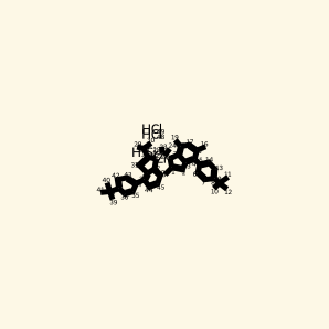 CC1=Cc2c(-c3ccc(C(C)(C)C)cc3)c(C)cc(C)c2[CH]1[Zr]([CH3])([CH3])(=[SiH2])[CH]1C(C(C)C)=Cc2c(-c3ccc(C(C)(C)C)cc3)cccc21.Cl.Cl